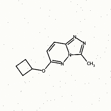 Cc1nnc2ccc(OC3CCC3)nn12